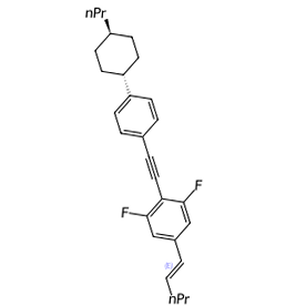 CCC/C=C/c1cc(F)c(C#Cc2ccc([C@H]3CC[C@H](CCC)CC3)cc2)c(F)c1